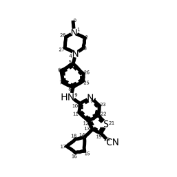 CN1CCN(c2ccc(Nc3cc4c(C5CCCC5)c(C#N)sc4cn3)cc2)CC1